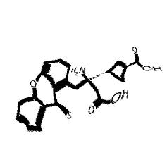 NC(Cc1cccc2oc3ccccc3c(=S)c12)(C(=O)O)[C@H]1C[C@H](C(=O)O)C1